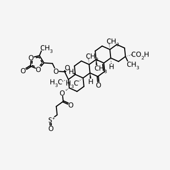 Cc1oc(=O)oc1COC(=O)[C@]1(C)[C@@H](OC(=O)CC[S+]=O)CC[C@@]2(C)[C@H]1CC[C@]1(C)[C@@H]2C(=O)C=C2[C@@H]3C[C@@](C)(C(=O)O)CC[C@]3(C)CC[C@]21C